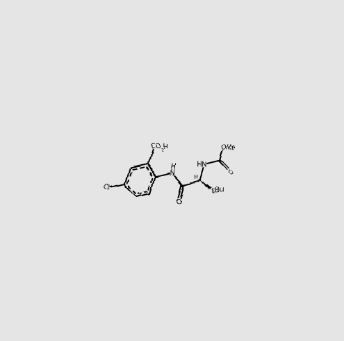 COC(=O)N[C@H](C(=O)Nc1ccc(Cl)cc1C(=O)O)C(C)(C)C